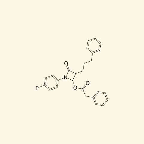 O=C(Cc1ccccc1)OC1C(CCCc2ccccc2)C(=O)N1c1ccc(F)cc1